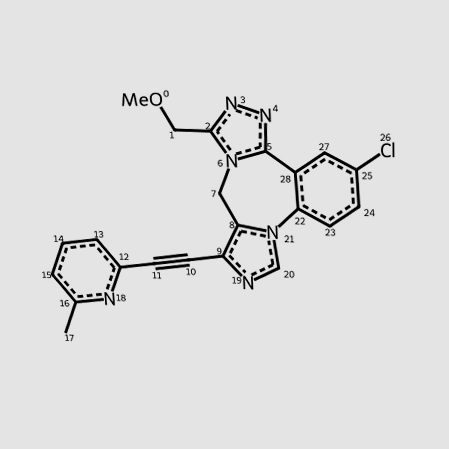 COCc1nnc2n1Cc1c(C#Cc3cccc(C)n3)ncn1-c1ccc(Cl)cc1-2